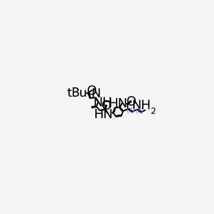 C=C(CC(=O)Nc1ccc2c(c1)NC(=O)/C2=C\C(N)=C\C)Nc1cc(C(C)(C)C)on1